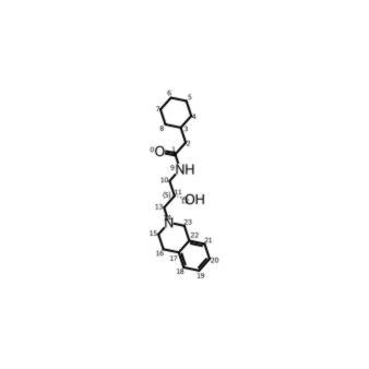 O=C(CC1CCCCC1)NC[C@H](O)CN1CCc2ccccc2C1